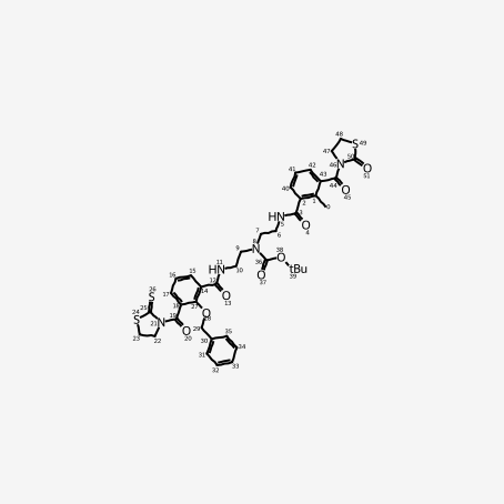 Cc1c(C(=O)NCCN(CCNC(=O)c2cccc(C(=O)N3CCSC3=S)c2OCc2ccccc2)C(=O)OC(C)(C)C)cccc1C(=O)N1CCSC1=O